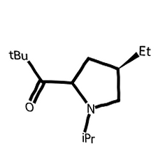 CC[C@@H]1CC(C(=O)C(C)(C)C)N(C(C)C)C1